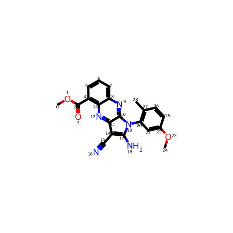 COC(=O)c1cccc2nc3c(nc12)c(C#N)c(N)n3-c1cc(OC)ccc1C